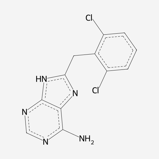 Nc1ncnc2[nH]c(Cc3c(Cl)cccc3Cl)nc12